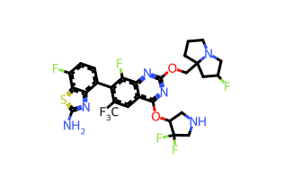 Nc1nc2c(-c3c(C(F)(F)F)cc4c(OC5CNCC5(F)F)nc(OCC56CCCN5CC(F)C6)nc4c3F)ccc(F)c2s1